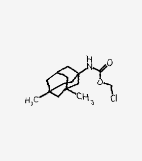 CC12CC3CC(C)(C1)CC(NC(=O)OCCl)(C3)C2